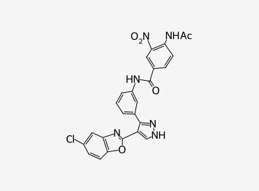 CC(=O)Nc1ccc(C(=O)Nc2cccc(-c3n[nH]cc3-c3nc4cc(Cl)ccc4o3)c2)cc1[N+](=O)[O-]